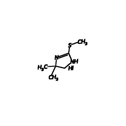 CSC1=NC(C)(C)CN1.I